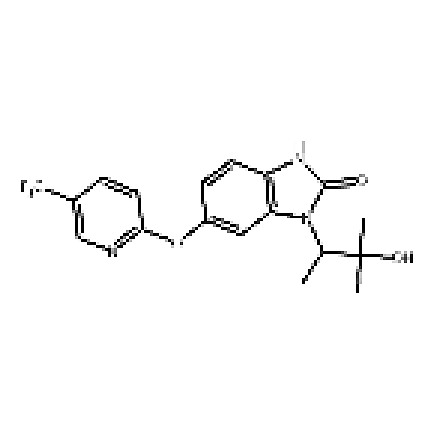 CC(n1c(=O)[nH]c2ccc(Oc3ccc(C(F)(F)F)cn3)cc21)C(C)(C)O